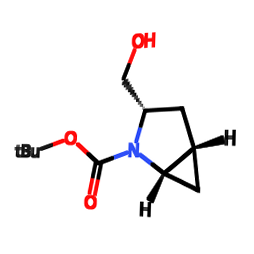 CC(C)(C)OC(=O)N1[C@H](CO)C[C@@H]2C[C@@H]21